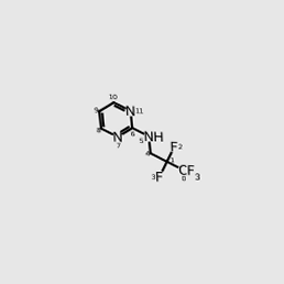 FC(F)(F)C(F)(F)CNc1ncccn1